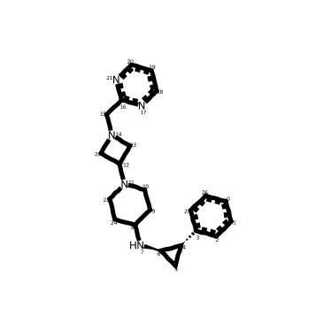 c1ccc([C@@H]2C[C@H]2NC2CCN([C]3CN(Cc4ncccn4)C3)CC2)cc1